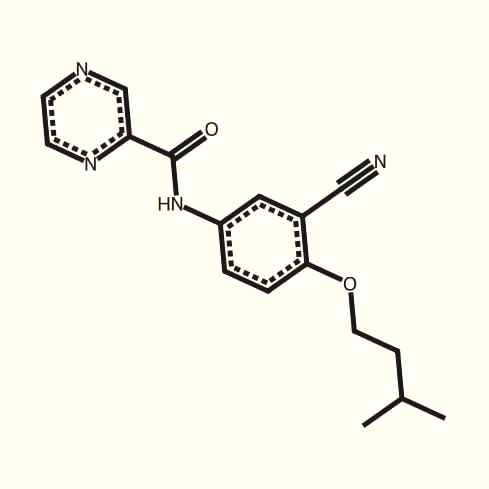 CC(C)CCOc1ccc(NC(=O)c2cnccn2)cc1C#N